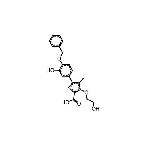 Cc1c(-c2ccc(OCc3ccccc3)c(O)c2)sc(C(=O)O)c1OCCO